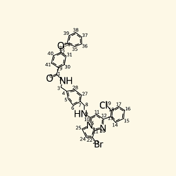 O=C(NCc1ccc(CNc2cc(-c3ccccc3Cl)nc3c(Br)ccn23)cc1)c1ccc(Oc2ccccc2)cc1